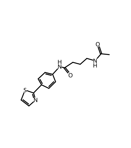 CC(=O)NCCCC(=O)Nc1ccc(-c2nccs2)cc1